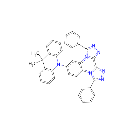 CC1(C)c2ccccc2N(c2ccc3c(c2)n2c(-c4ccccc4)nnc2c2nnc(-c4ccccc4)n32)c2ccccc21